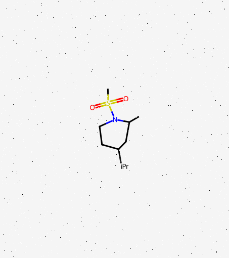 CC(C)C1CCN(S(C)(=O)=O)C(C)C1